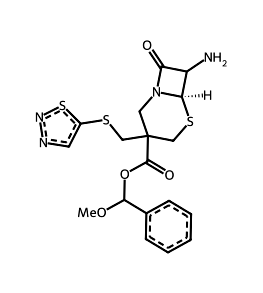 COC(OC(=O)C1(CSc2cnns2)CS[C@@H]2C(N)C(=O)N2C1)c1ccccc1